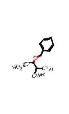 COC(C(=O)O)C(OCc1ccccc1)C(=O)O